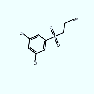 [CH2]C(CC)CCS(=O)(=O)c1cc(Cl)cc(Cl)c1